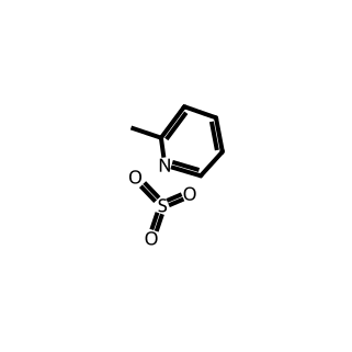 Cc1ccccn1.O=S(=O)=O